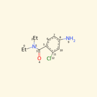 CCN(CC)C(=O)c1ccc(N)cc1Cl